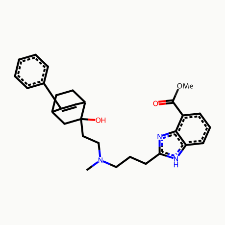 COC(=O)c1cccc2[nH]c(CCCN(C)CCC3(O)CC4CCC3C=C4c3ccccc3)nc12